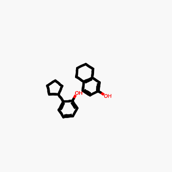 Oc1ccc2c(c1)CCCC2.Oc1ccccc1C1CCCC1